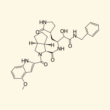 COc1cccc2[nH]c(C(=O)N3C[C@@H]4CCC[C@@H]4[C@H]3C(=O)N[C@@H](C[C@@H]3CCNC3=O)C(O)C(=O)NCc3ccccc3)cc12